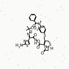 CN(C(=O)c1ccccc1)[n+]1ccc(SCC2=C(C(=O)ONC(=O)/C(=N\OC(C)(C)C(=O)O)c3csc(N)n3)N3C(=O)C[C@@H]3SC2)cc1